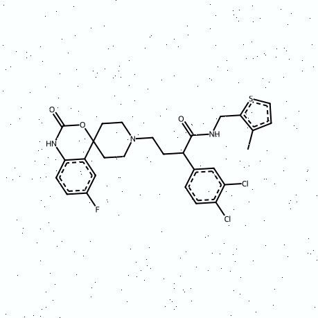 Cc1ccsc1CNC(=O)C(CCN1CCC2(CC1)OC(=O)Nc1ccc(F)cc12)c1ccc(Cl)c(Cl)c1